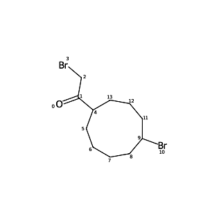 O=C(CBr)C1CCCCC(Br)CCC1